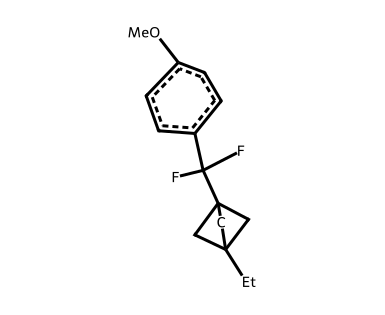 CCC12CC(C(F)(F)c3ccc(OC)cc3)(C1)C2